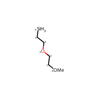 COCCOCC[SiH3]